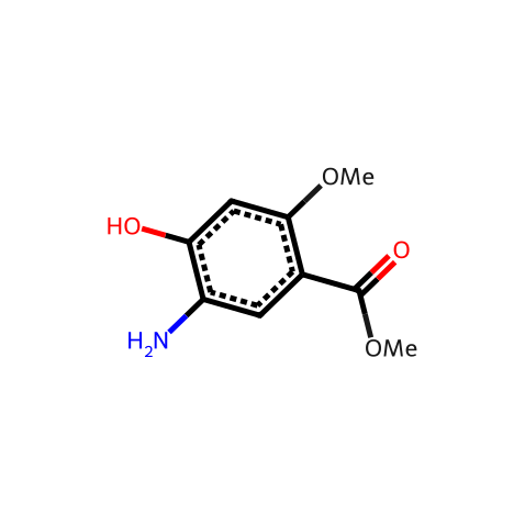 COC(=O)c1cc(N)c(O)cc1OC